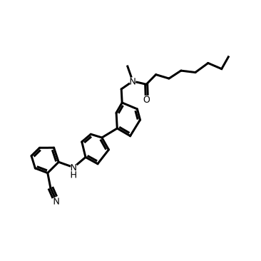 CCCCCCCC(=O)N(C)Cc1cccc(-c2ccc(Nc3ccccc3C#N)cc2)c1